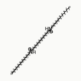 CCCCCCCCCCCCCCCCCCNC(=O)CCCCCCCCCCCCCCCCC(=O)NCCCCCCCCCCCCCCCCCC